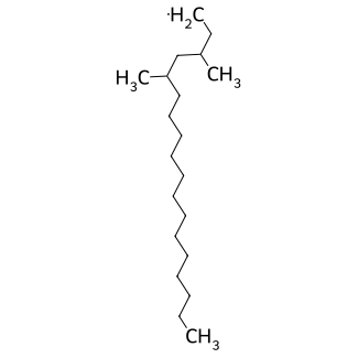 [CH2]CC(C)CC(C)CCCCCCCCCCCCC